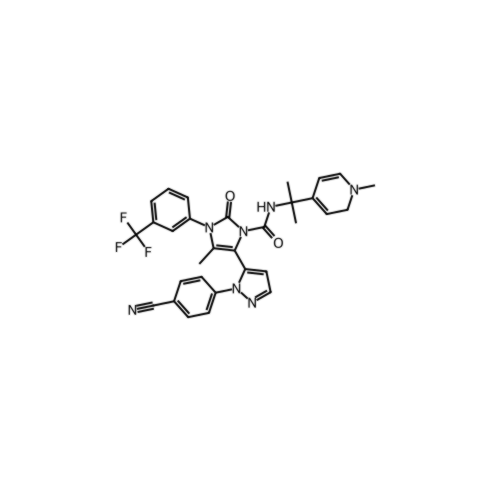 Cc1c(-c2ccnn2-c2ccc(C#N)cc2)n(C(=O)NC(C)(C)C2=CCN(C)C=C2)c(=O)n1-c1cccc(C(F)(F)F)c1